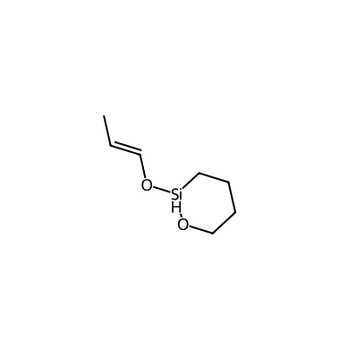 CC=CO[SiH]1CCCCO1